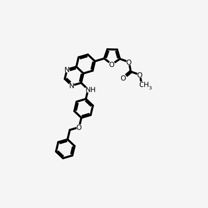 COC(=O)Oc1ccc(-c2ccc3ncnc(Nc4ccc(OCc5ccccc5)cc4)c3c2)o1